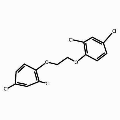 Clc1ccc(OCCOc2ccc(Cl)cc2Cl)c(Cl)c1